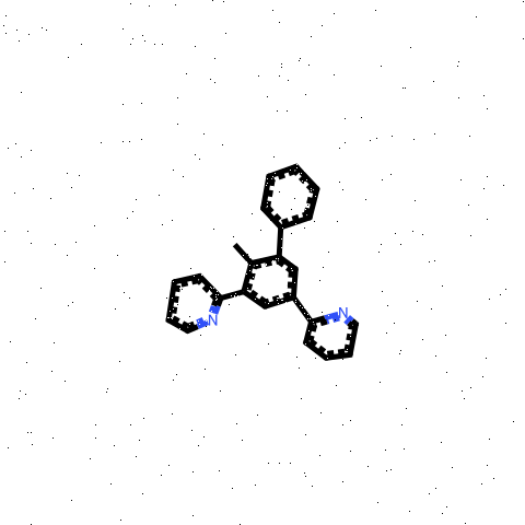 Cc1c(-c2ccccc2)cc(-c2ccccn2)cc1-c1ccccn1